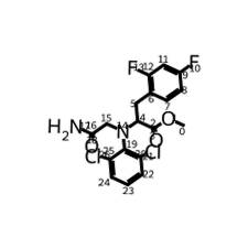 COC(=O)C(Cc1ccc(F)cc1F)N(CC(N)=O)c1c(Cl)cccc1Cl